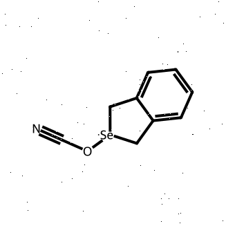 N#CO[Se]1Cc2ccccc2C1